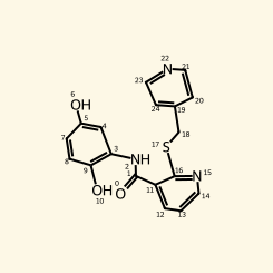 O=C(Nc1cc(O)ccc1O)c1cccnc1SCc1ccncc1